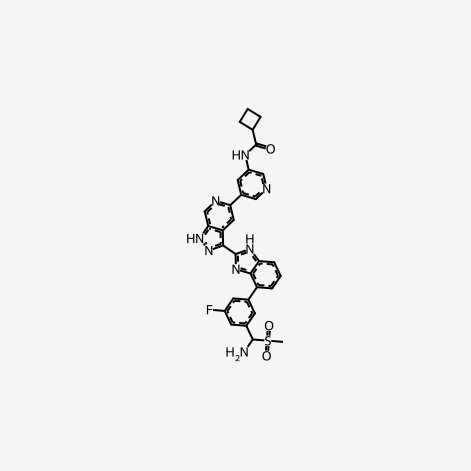 CS(=O)(=O)C(N)c1cc(F)cc(-c2cccc3[nH]c(-c4n[nH]c5cnc(-c6cncc(NC(=O)C7CCC7)c6)cc45)nc23)c1